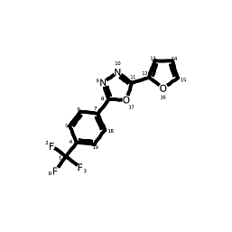 FC(F)(F)c1ccc(-c2nnc(-c3ccco3)o2)cc1